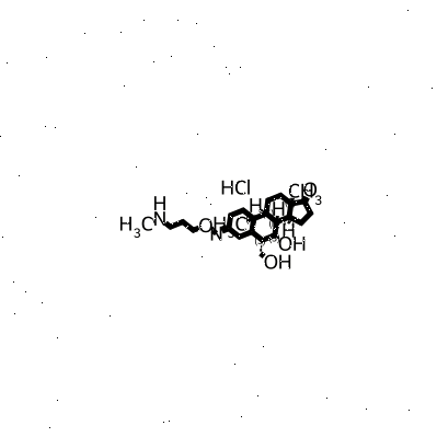 CNCCCON=C1CC[C@@]2(C)C(C1)[C@@H](CO)[C@@H](O)[C@@H]1[C@@H]2CC[C@]2(C)C(=O)CC[C@@H]12.Cl